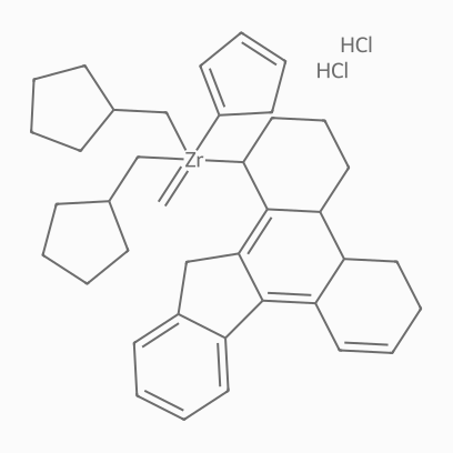 Cl.Cl.[CH2]=[Zr]([CH2]C1CCCC1)([CH2]C1CCCC1)([C]1=CC=CC1)[CH]1CCCC2C1=C1Cc3ccccc3C1=C1C=CCCC12